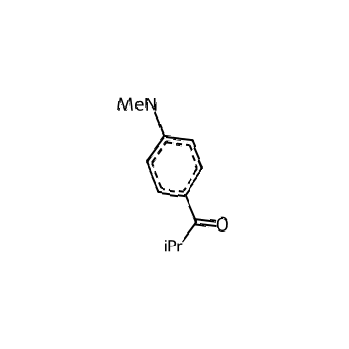 CNc1ccc(C(=O)C(C)C)cc1